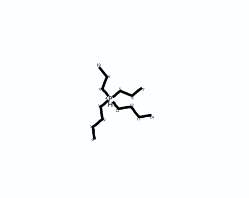 CCCC[PH](CCC)(CCC)CCCC